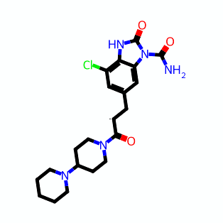 NC(=O)n1c(=O)[nH]c2c(Cl)cc(C[CH]C(=O)N3CCC(N4CCCCC4)CC3)cc21